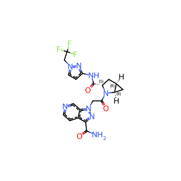 NC(=O)c1nn(CC(=O)N2[C@@H]3C[C@@H]3C[C@H]2C(=O)Nc2ccn(CC(F)(F)F)n2)c2cnccc12